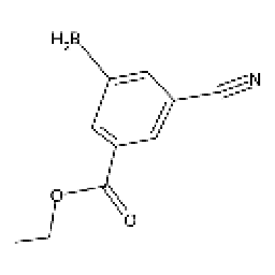 Bc1cc(C#N)cc(C(=O)OCC)c1